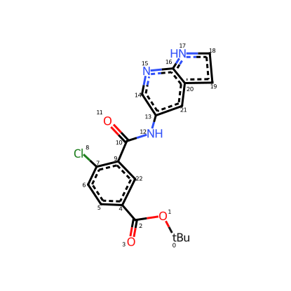 CC(C)(C)OC(=O)c1ccc(Cl)c(C(=O)Nc2cnc3[nH]ccc3c2)c1